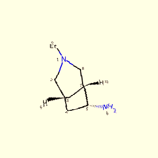 CCN1C[C@H]2C[C@@H](N)[C@H]2C1